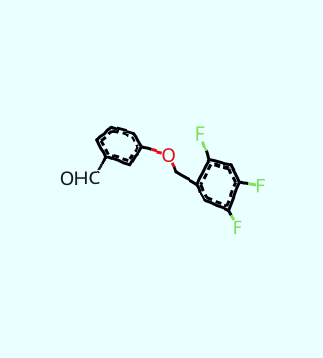 O=Cc1cccc(OCc2cc(F)c(F)cc2F)c1